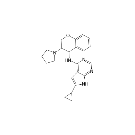 c1ccc2c(c1)OCC(N1CCCC1)C2Nc1ncnc2[nH]c(C3CC3)cc12